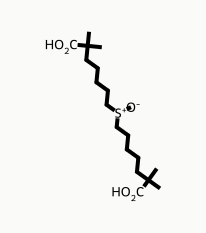 CC(C)(CCCCC[S+]([O-])CCCCCC(C)(C)C(=O)O)C(=O)O